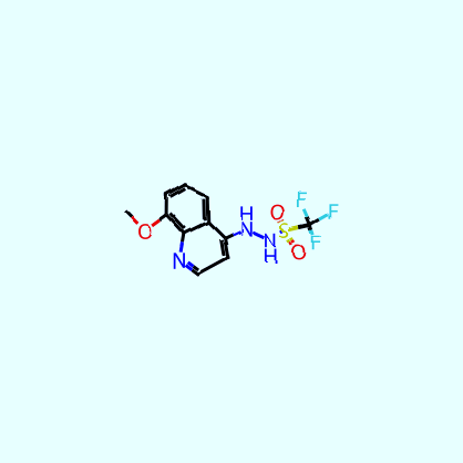 COc1cccc2c(NNS(=O)(=O)C(F)(F)F)ccnc12